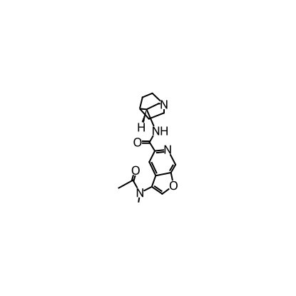 CC(=O)N(C)c1coc2cnc(C(=O)N[C@H]3CN4CCC3CC4)cc12